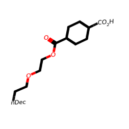 CCCCCCCCCCCCOCCOC(=O)C1CCC(C(=O)O)CC1